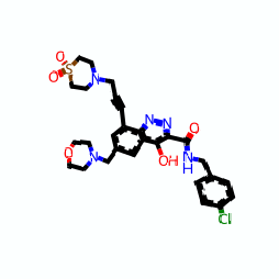 O=C(NCc1ccc(Cl)cc1)c1nnc2c(C#CCN3CCS(=O)(=O)CC3)cc(CN3CCOCC3)cc2c1O